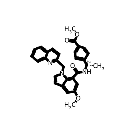 COC(=O)c1ccc([C@H](C)NC(=O)c2cc(OC)cc3ccn(Cc4ccc5ccccc5n4)c23)cc1